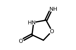 N=C1NC(=O)CO1